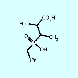 CC(C)CP(=O)(O)C(C)C(C)C(=O)O